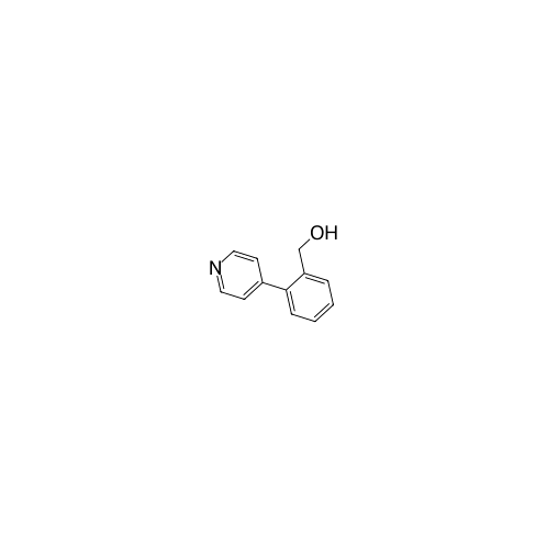 OCc1ccccc1-c1ccncc1